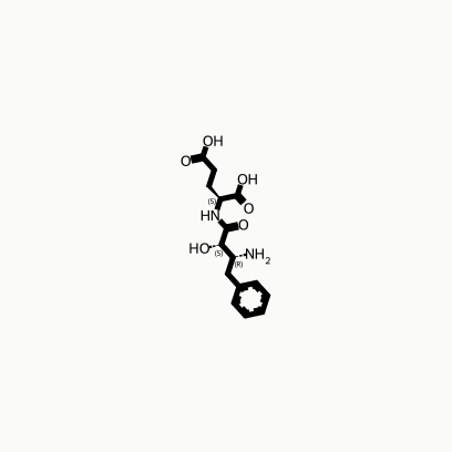 N[C@H](Cc1ccccc1)[C@H](O)C(=O)N[C@@H](CCC(=O)O)C(=O)O